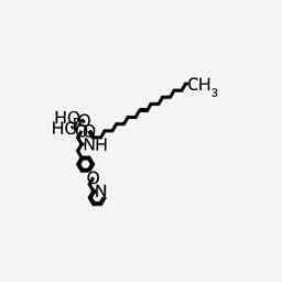 CCCCCCCCC=CCCCCCCCC(=O)NC(COP(=O)(O)O)Cc1ccc(OCc2ccccn2)cc1